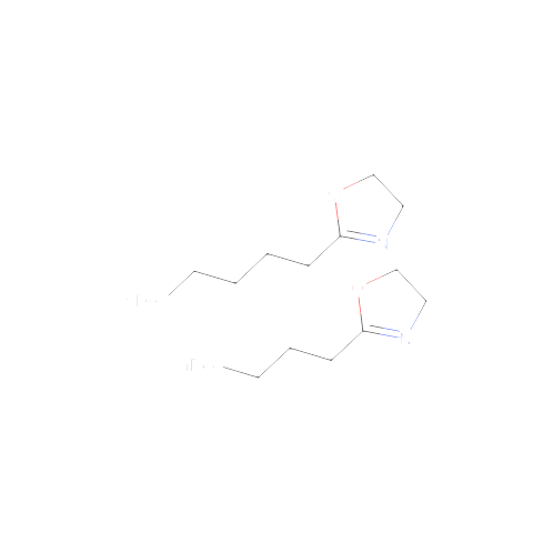 CCCCCCCCCCCCCC1=NCCO1.CCCCCCCCCCCCCCC1=NCCO1